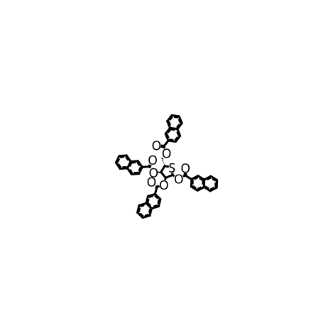 O=C(OC[C@@H]1SC(OC(=O)c2ccc3ccccc3c2)C(OC(=O)c2ccc3ccccc3c2)[C@H]1OC(=O)c1ccc2ccccc2c1)c1ccc2ccccc2c1